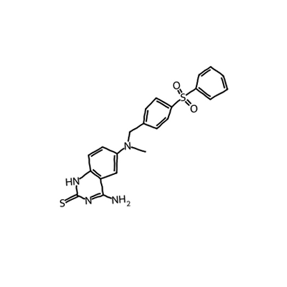 CN(Cc1ccc(S(=O)(=O)c2ccccc2)cc1)c1ccc2[nH]c(=S)nc(N)c2c1